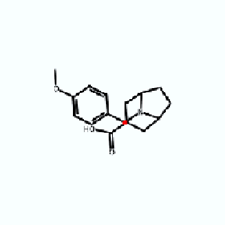 COc1ccc(CN2C3CCC2CC(C(=O)O)C3)cc1